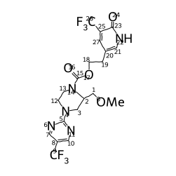 COCC1CN(c2ncc(C(F)(F)F)cn2)CCN1C(=O)OCCc1c[nH]c(=O)c(C(F)(F)F)c1